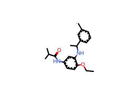 [CH2]c1cccc(C(C)Nc2cc(NC(=O)C(C)C)ccc2OCC)c1